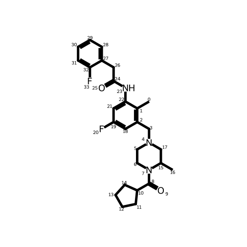 Cc1c(CN2CCN(C(=O)C3CCCC3)C(C)C2)cc(F)cc1NC(=O)Cc1ccccc1F